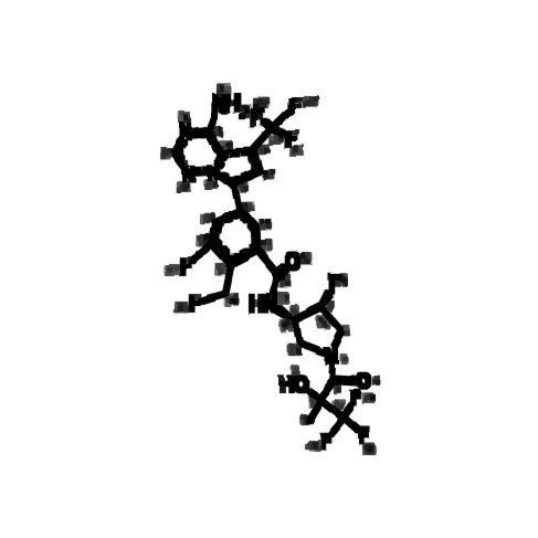 CC(O)(C(=O)N1C[C@H](F)[C@H](NC(=O)c2cc(-c3cc(C(F)(F)F)c4c(N)ncnn34)cc(F)c2CF)C1)C(F)(F)F